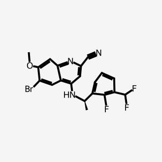 COc1cc2nc(C#N)cc(N[C@H](C)c3cccc(C(F)F)c3F)c2cc1Br